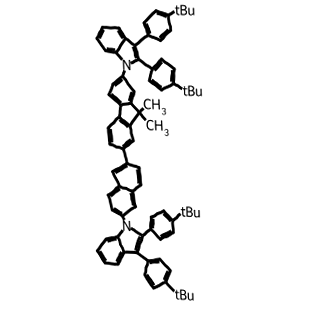 CC(C)(C)c1ccc(-c2c(-c3ccc(C(C)(C)C)cc3)n(-c3ccc4c(c3)C(C)(C)c3cc(-c5ccc6cc(-n7c(-c8ccc(C(C)(C)C)cc8)c(-c8ccc(C(C)(C)C)cc8)c8ccccc87)ccc6c5)ccc3-4)c3ccccc23)cc1